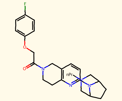 CCCN1CC2CCC(C1)N2c1ccc2c(n1)CCN(C(=O)COc1ccc(F)cc1)C2